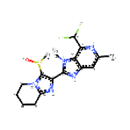 CC[S+]([O-])c1c(-c2nc3cc(C(F)(F)F)nc(C(F)F)c3n2C)nc2n1CCCC2